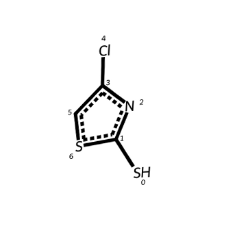 Sc1nc(Cl)cs1